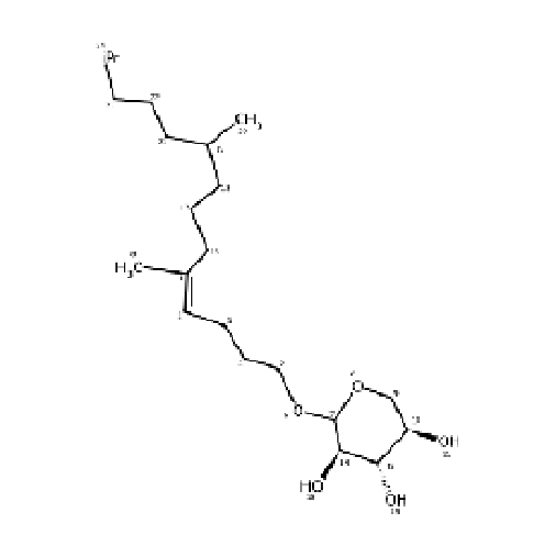 CC(=CCCCOC1OC[C@@H](O)[C@H](O)[C@H]1O)CCCC(C)CCCC(C)C